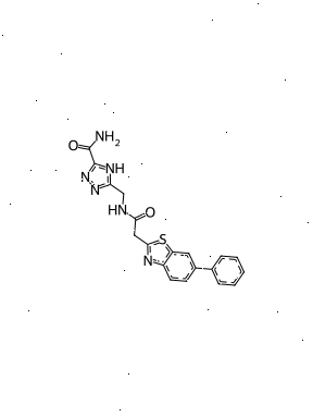 NC(=O)c1nnc(CNC(=O)Cc2nc3ccc(-c4ccccc4)cc3s2)[nH]1